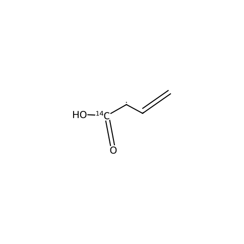 C=C[CH][14C](=O)O